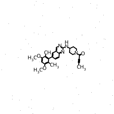 CC#CC(=O)N1CCC(Nc2ncc3cc(-c4c(C)c(OC)cc(OC)c4C)ccc3n2)CC1